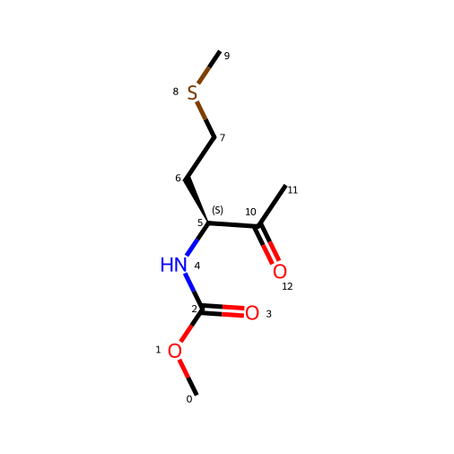 COC(=O)N[C@@H](CCSC)C(C)=O